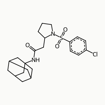 O=C(CC1CCCN1S(=O)(=O)c1ccc(Cl)cc1)NC12CC3CC(CC(C3)C1)C2